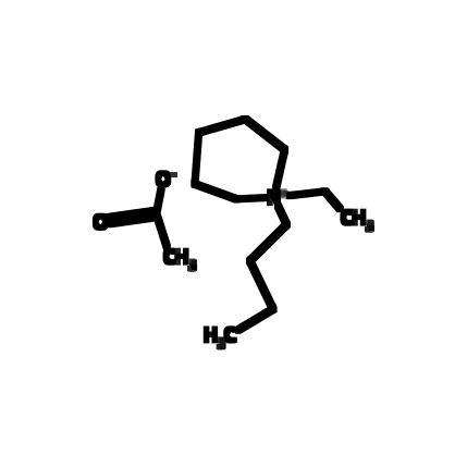 CC(=O)[O-].CCCC[N+]1(CC)CCCCC1